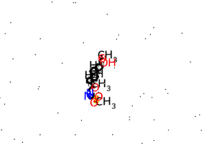 COC[C@@]1(O)CC[C@H]2[C@@H](CC[C@@H]3[C@@H]2CC[C@]2(C)[C@@H](C(=O)Cn4cc(S(C)(=O)=O)cn4)CC[C@@H]32)C1